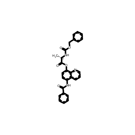 C[C@H](NC(=O)OCc1ccccc1)C(=O)Oc1ccc(NC(=O)c2ccccc2)c2cccnc12